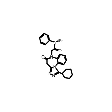 CC(C)N(C(=O)CN1C(=O)Cc2nnc(C3CCCCC3)n2-c2ccccc21)c1ccccc1